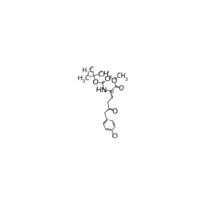 COC(=O)[C@@H](CCC(=O)Cc1ccc(Cl)cc1)NC(=O)OC(C)(C)C